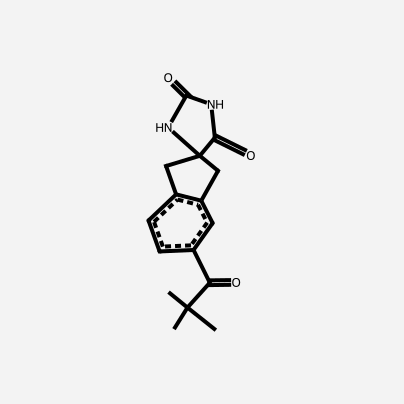 CC(C)(C)C(=O)c1ccc2c(c1)CC1(C2)NC(=O)NC1=O